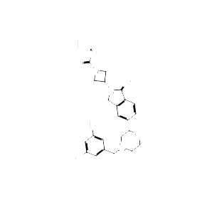 CC(C)(C)OC(=O)N1CC(N2Cc3cc([C@H]4CN(Cc5cc(F)cc(C(F)(F)F)c5)CCO4)ccc3C2=O)C1